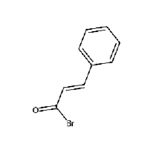 O=C(Br)C=Cc1ccccc1